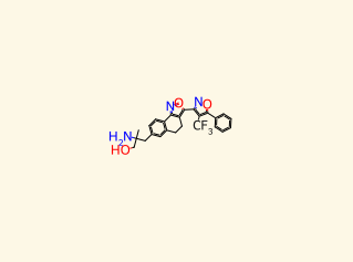 CC(N)(CO)Cc1ccc2c(c1)CCc1c-2noc1-c1noc(-c2ccccc2)c1C(F)(F)F